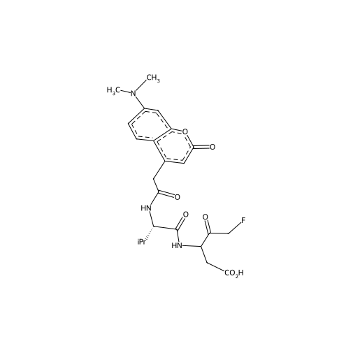 CC(C)[C@H](NC(=O)Cc1cc(=O)oc2cc(N(C)C)ccc12)C(=O)NC(CC(=O)O)C(=O)CF